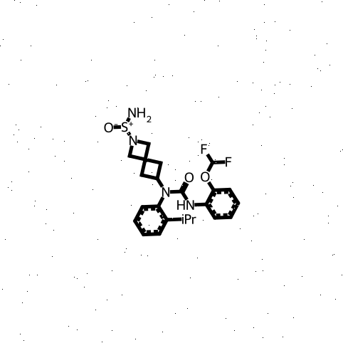 CC(C)c1ccccc1N(C(=O)Nc1ccccc1OC(F)F)C1CC2(C1)CN([S+](N)[O-])C2